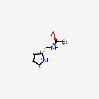 CCC(=O)NC[C@H]1CCCN1